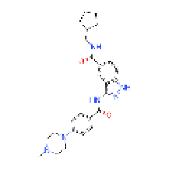 CN1CCN(c2ccc(C(=O)Nc3n[nH]c4ccc(C(=O)NCC5CCCC5)cc34)cc2)CC1